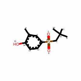 Cc1cc(S(=O)(=O)CC(C)(C)C)ccc1O